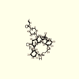 C=CC(=O)N1CCN(c2nc(=O)n3c4nc(c(Cl)cc24)-c2c(F)cccc2NCCOc2ccnc(C(C)C)c2-3)CC1